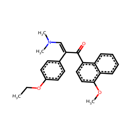 CCOc1ccc(/C(=C\N(C)C)C(=O)c2ccc(OC)c3ccccc23)cc1